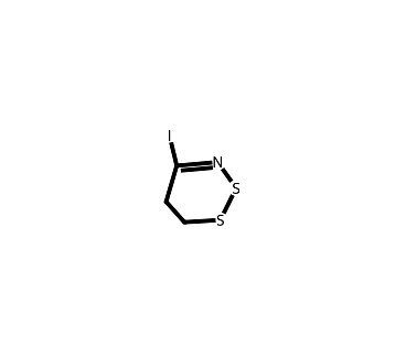 IC1=NSSCC1